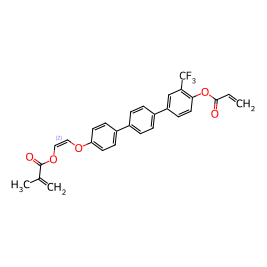 C=CC(=O)Oc1ccc(-c2ccc(-c3ccc(O/C=C\OC(=O)C(=C)C)cc3)cc2)cc1C(F)(F)F